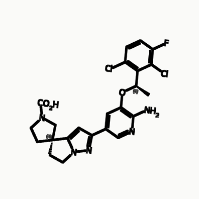 C[C@@H](Oc1cc(-c2cc3n(n2)CC[C@@]32CCN(C(=O)O)C2)cnc1N)c1c(Cl)ccc(F)c1Cl